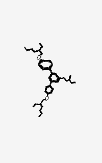 C=C(CC)CCc1cc(-c2ccc(OCC(CC)CCCC)cc2)cc(-c2ccc(OCC(CC)CCCC)cc2)c1